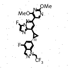 COc1ncc(-c2cc(C3C[C@@H]3c3cc(F)c4cnn(CC(F)(F)F)c4c3)c3ncc(F)n3n2)c(OC)n1